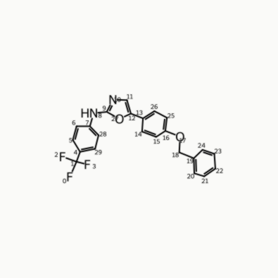 FC(F)(F)c1ccc(Nc2ncc(-c3ccc(OCc4ccccc4)cc3)o2)cc1